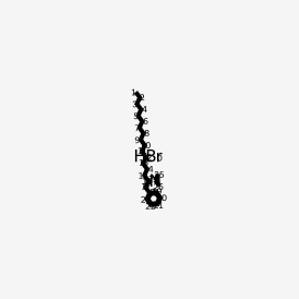 Br.CCCCCCCCCCCCCCCC(Cc1ccccc1)N(C)C